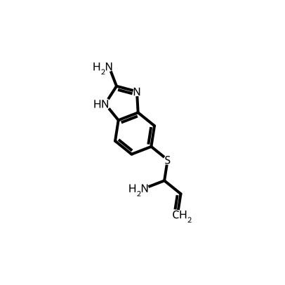 C=CC(N)Sc1ccc2[nH]c(N)nc2c1